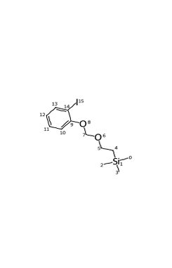 C[Si](C)(C)CCOCOc1ccccc1I